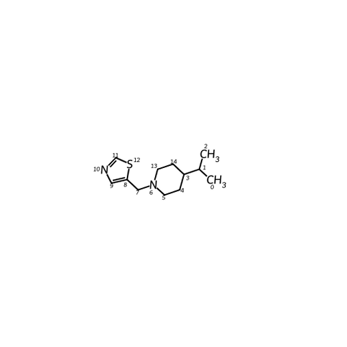 CC(C)C1CCN(Cc2cncs2)CC1